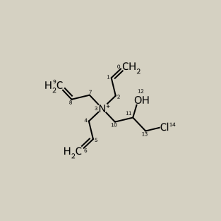 C=CC[N+](CC=C)(CC=C)CC(O)CCl